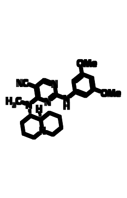 COc1cc(Nc2ncc(C#N)c(N(C)[C@H]3CCCN4CCCC[C@H]34)n2)cc(OC)c1